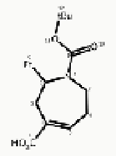 CCC1CC(C(=O)O)=CCCN1C(=O)OC(C)(C)C